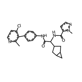 Cc1nccc(Cl)c1-c1ccc(NC(=O)C(NC(=O)c2ccnn2C)C2CC3CC3C2)cc1